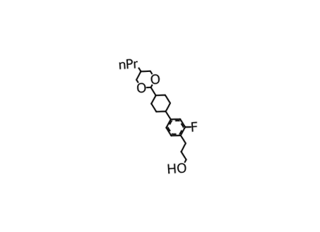 CCCC1COC(C2CCC(c3ccc(CCCO)c(F)c3)CC2)OC1